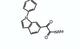 CNC(=O)C(=O)c1ccc2ccn(-c3ccccc3)c2c1